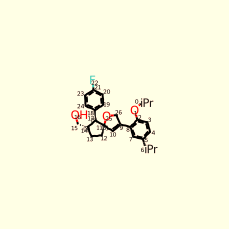 CC(C)Oc1ccc(C(C)C)cc1C1=C[C@@]2(CC[C@H](CO)[C@H]2c2ccc(F)cc2)OC1